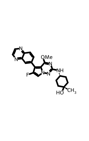 COc1nc(N[C@H]2CC[C@@](C)(O)CC2)nn2cc(F)c(-c3ccc4nccnc4c3)c12